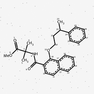 COC(=O)C(C)(C)NC(=O)c1ccc2ccccc2c1OCCC(C)c1ccccc1